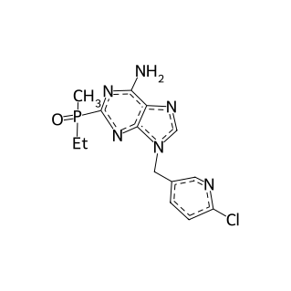 CCP(C)(=O)c1nc(N)c2ncn(Cc3ccc(Cl)nc3)c2n1